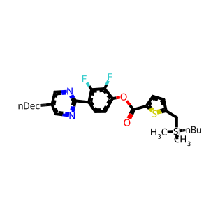 CCCCCCCCCCc1cnc(-c2ccc(OC(=O)c3ccc(C[Si](C)(C)CCCC)s3)c(F)c2F)nc1